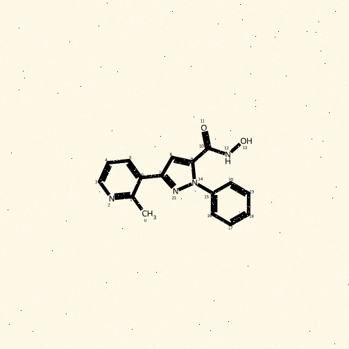 Cc1ncccc1-c1cc(C(=O)NO)n(-c2ccccc2)n1